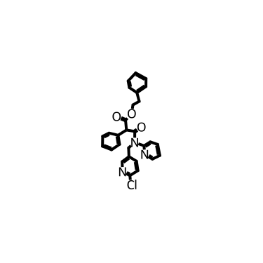 O=C(OCCc1ccccc1)C(C(=O)N(Cc1ccc(Cl)nc1)c1ccccn1)c1ccccc1